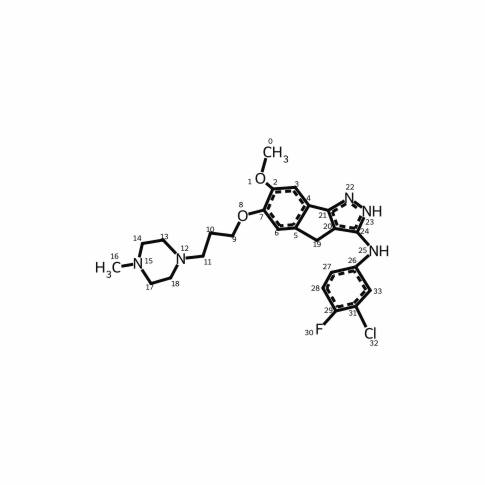 COc1cc2c(cc1OCCCN1CCN(C)CC1)Cc1c-2n[nH]c1Nc1ccc(F)c(Cl)c1